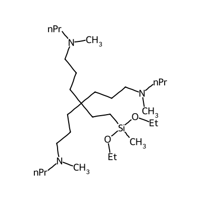 CCCN(C)CCCC(CCCN(C)CCC)(CCCN(C)CCC)CC[Si](C)(OCC)OCC